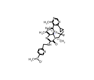 C=C(/N=C1\C(=C(C)C)N=C(NCc2ccc([S+](C)[O-])cn2)C(=O)N1[C@@H](C)C(F)(F)F)c1c(C)ncnc1C1CC1